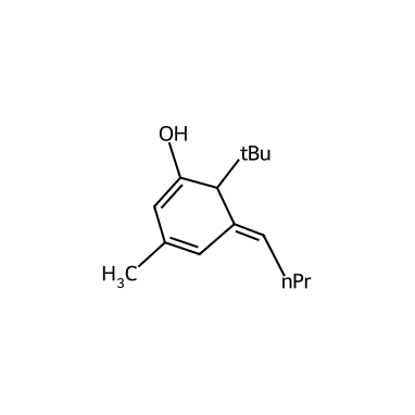 CCCC=C1C=C(C)C=C(O)C1C(C)(C)C